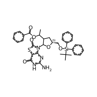 CC(OC(=O)c1ccccc1)C1C[C@@H](CO[Si](c2ccccc2)(c2ccccc2)C(C)(C)C)OC1n1c(=O)sc2c(=O)[nH]c(N)nc21